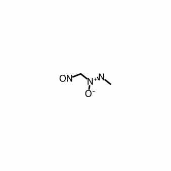 CN=[N+]([O-])CN=O